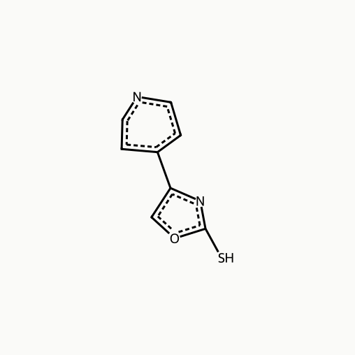 Sc1nc(-c2ccncc2)co1